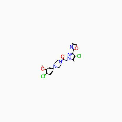 COc1cc(N2CCN(C(=O)Cn3nc(-c4ncco4)c(Cl)c3C)CC2)ccc1Cl